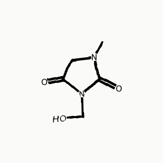 CN1CC(=O)N(CO)C1=O